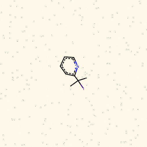 CC(C)(I)c1ccccn1